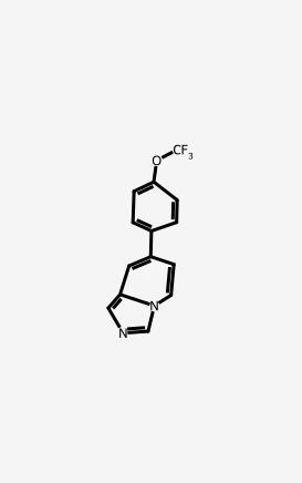 FC(F)(F)Oc1ccc(-c2ccn3cncc3c2)cc1